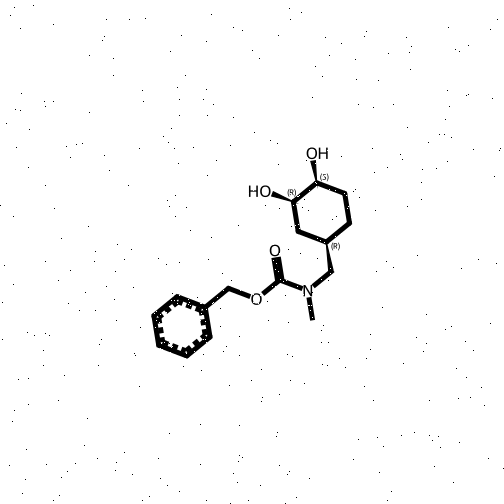 CN(C[C@@H]1CC[C@H](O)[C@H](O)C1)C(=O)OCc1ccccc1